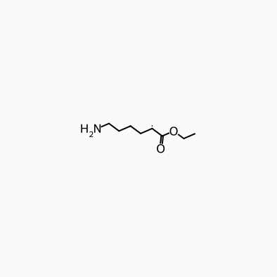 CCOC(=O)[CH]CCCCN